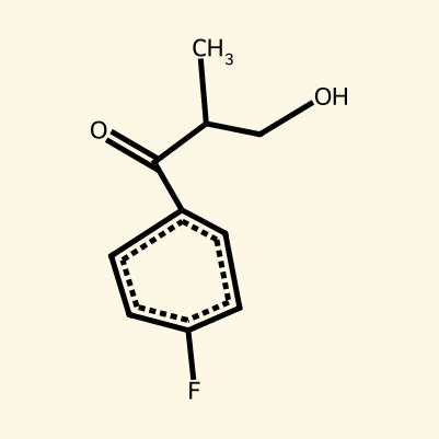 CC(CO)C(=O)c1ccc(F)cc1